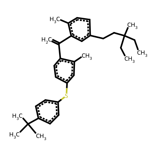 C=C(c1ccc(Sc2ccc(C(C)(C)C)cc2)cc1C)c1cc(CCC(C)(CC)CC)ccc1C